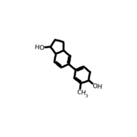 CC1=CC(C2=CC3CCC(O)C3C=C2)=CCC1O